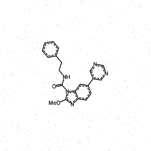 COc1nc2ccc(-c3cncnc3)cc2n1C(=O)NCCc1ccccc1